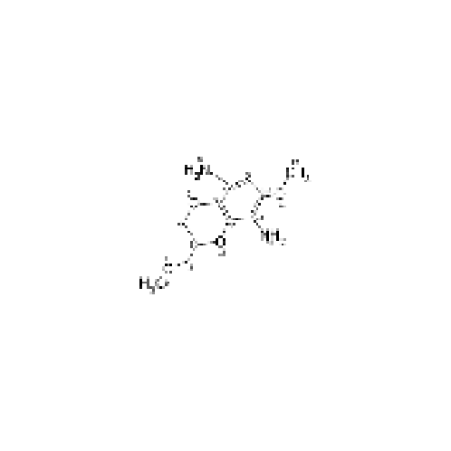 COCC1COc2c(N)cc(OC)c(N)c2O1